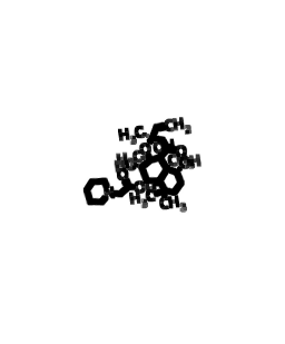 C=C[C@@]1(C)CC(=O)[C@]2(O)[C@@]3(C)[C@@H](O)CCC(C)(C)[C@@H]3[C@H](OC(=O)CN3CCCCC3)[C@H](O)[C@@]2(C)O1